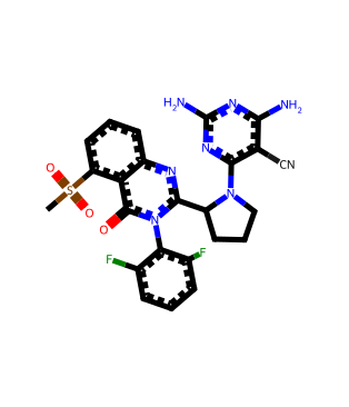 CS(=O)(=O)c1cccc2nc(C3CCCN3c3nc(N)nc(N)c3C#N)n(-c3c(F)cccc3F)c(=O)c12